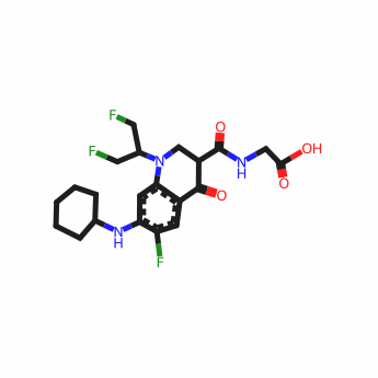 O=C(O)CNC(=O)C1CN(C(CF)CF)c2cc(NC3CCCCC3)c(F)cc2C1=O